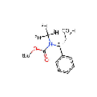 [2H]C([2H])([2H])N(C(=O)OC(C)(C)C)[C@H](CC(=O)O)c1ccccc1